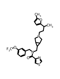 Cc1ccc(C(C)CCN2CC3C(C2)C3CN(Cc2cccc(OC(F)(F)F)c2)C(=O)c2cscn2)o1